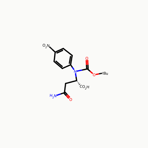 CC(C)(C)OC(=O)N(c1ccc([N+](=O)[O-])cc1)[C@@H](CC(N)=O)C(=O)O